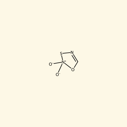 [O-][N+]1([O-])OC=NS1